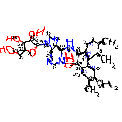 C=C/C=C\C(=C/C=C)[C@@H](Nc1ncnc2c1ncn2C1OC(CO)C(O)C1O)[C@@H](O)C(/C=C\C=C)=C/C=C